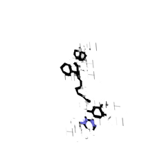 C=C/C(Cl)=C(C[C@H](OC(=O)c1ccc(CNC(C)(C(=O)O[C@H]2C[N+]3(O)CCC2CC3)c2ccccc2)s1)c1ccc(OC)c(OC)c1)\C(Cl)=C/C